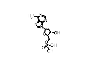 Nc1ncnc2c1ncn2[C@H]1C[C@@H](O)C(COP(=O)(O)O)O1